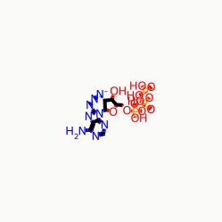 [N-]=[N+]=Nc1nc2c(N)ncnc2n1C1CC(O)C(COP(=O)(O)OP(=O)(O)OP(=O)(O)O)O1